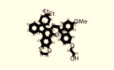 CCC1(CC)CCC2(CC1)c1ccccc1-c1c2c2c(c3cc4c(cc13)SCCO4)OC(c1ccc(OC)cc1)(c1ccc(OCCO)cc1)C=C2